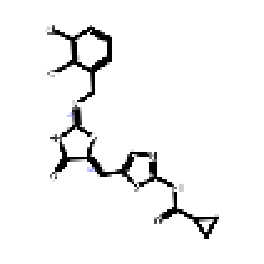 O=C1N/C(=N/Cc2cccc(Cl)c2Cl)S/C1=C\c1cnc(NC(=O)C2CC2)s1